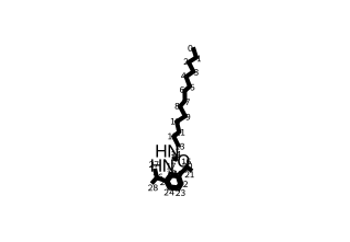 CCCCCCCCCCCCCCNC(=O)Nc1c(CC)cccc1C(C)C